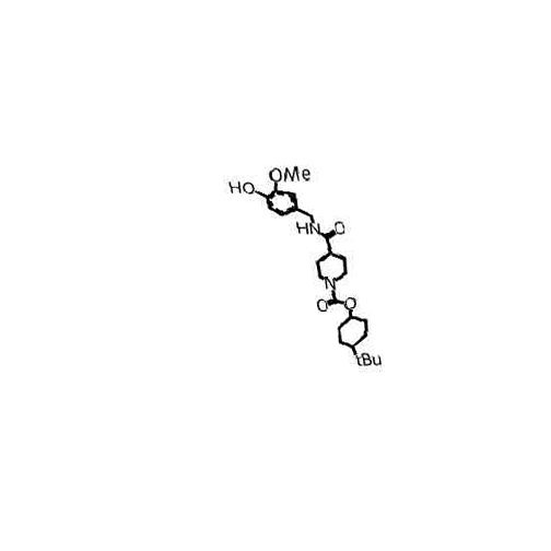 COc1cc(CNC(=O)C2CCN(C(=O)OC3CCC(C(C)(C)C)CC3)CC2)ccc1O